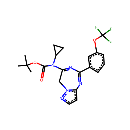 CC(C)(C)OC(=O)N(C1=NC(c2cccc(OC(F)(F)F)c2)=Nc2ccnn2C1)C1CC1